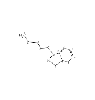 CCCCC[C]1CCC2CC=CC=C12